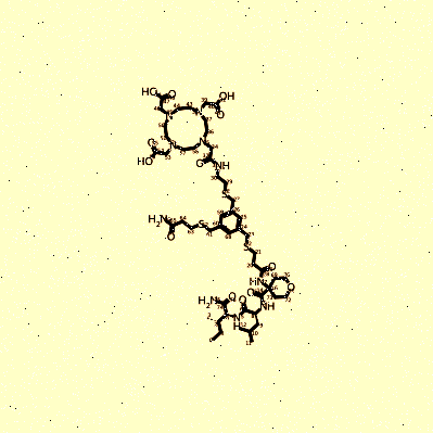 CC[C@H](C)[C@H](NC(=O)[C@H](CC(C)C)NC(=O)C1(NC(=O)CCSCc2cc(CSCCNC(=O)CN3CCN(CC(=O)O)CCN(CC(=O)O)CCN(CC(=O)O)CC3)cc(CSCCC(N)=O)c2)CCOCC1)C(N)=O